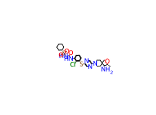 C[C@@H]1OCC2(CCN(c3cnc(Sc4cccc(NC(=O)NS(=O)(=O)C5CCCCC5)c4Cl)cn3)CC2)[C@@H]1N